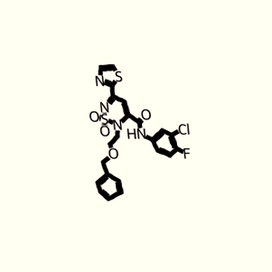 O=C(Nc1ccc(F)c(Cl)c1)C1=CC(c2nccs2)=NS(=O)(=O)N1CCOCc1ccccc1